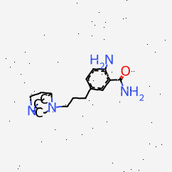 NC(=O)c1cc(CCCN2CCN3CCC2CC3)ccc1N